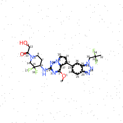 COc1nc(N[C@@H]2CCN(C(=O)CO)CC2(F)F)nn2ccc(-c3ccc4nnn(CC(C)(F)F)c4c3)c12